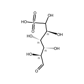 O=C[C@@H](O)[C@@H](O)[C@H](O)[C@H](O)C(O)S(=O)(=O)O